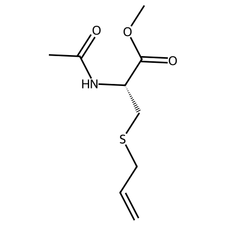 C=CCSC[C@H](NC(C)=O)C(=O)OC